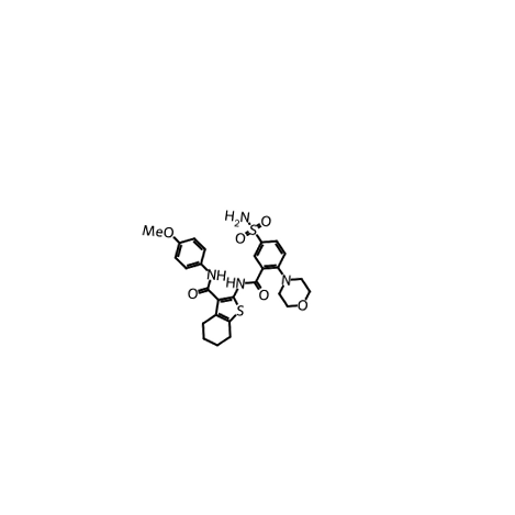 COc1ccc(NC(=O)c2c(NC(=O)c3cc(S(N)(=O)=O)ccc3N3CCOCC3)sc3c2CCCC3)cc1